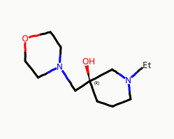 CCN1CCC[C@](O)(CN2CCOCC2)C1